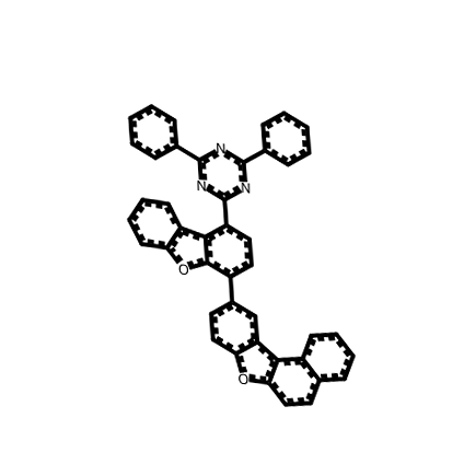 c1ccc(-c2nc(-c3ccccc3)nc(-c3ccc(-c4ccc5oc6ccc7ccccc7c6c5c4)c4oc5ccccc5c34)n2)cc1